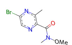 CON(C)C(=O)c1ncc(Br)nc1C